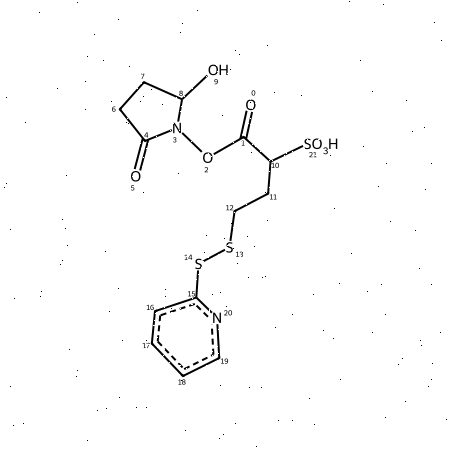 O=C(ON1C(=O)CCC1O)C(CCSSc1ccccn1)S(=O)(=O)O